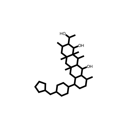 CC(O)C1C(C)CC2(C)CC3(C)CC4C(C5CCC(CC6CCCC6)CC5)CCC(C)C4C(O)C3C(C)C2(C)C1O